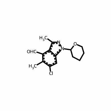 Cc1c(Cl)cc2c(c(C)nn2C2CCCCO2)c1C=O